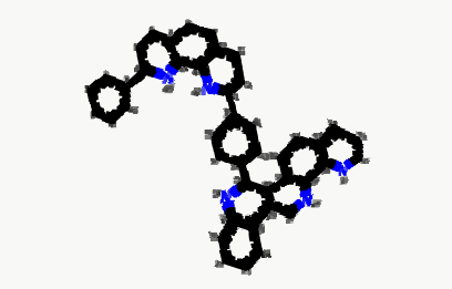 c1ccc(-c2ccc3ccc4ccc(-c5ccc(-c6nc7ccccc7c7cnc8c(ccc9cccnc98)c67)cc5)nc4c3n2)cc1